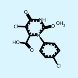 O.O=C(O)c1c(Cl)c(=O)[nH]c(=O)n1-c1ccc(Cl)cc1